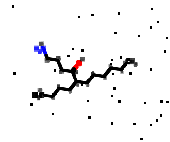 CCCCCCC(CCCC)C(=O)CCCN